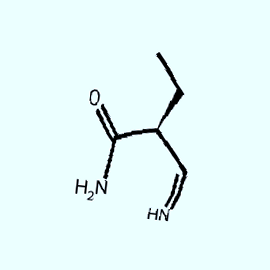 CC[C@@H](C=N)C(N)=O